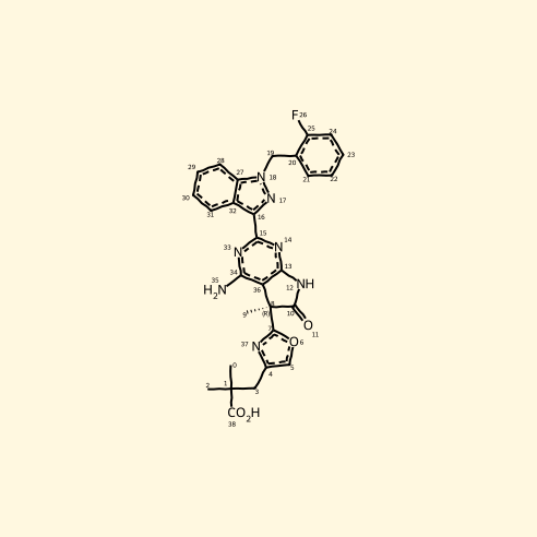 CC(C)(Cc1coc([C@]2(C)C(=O)Nc3nc(-c4nn(Cc5ccccc5F)c5ccccc45)nc(N)c32)n1)C(=O)O